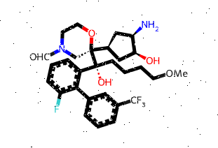 COCCCC[C@@](O)(c1cccc(F)c1-c1cccc(C(F)(F)F)c1)[C@@]1([C@H]2C[C@@H](N)[C@@H](O)C2)CN(C=O)CCO1